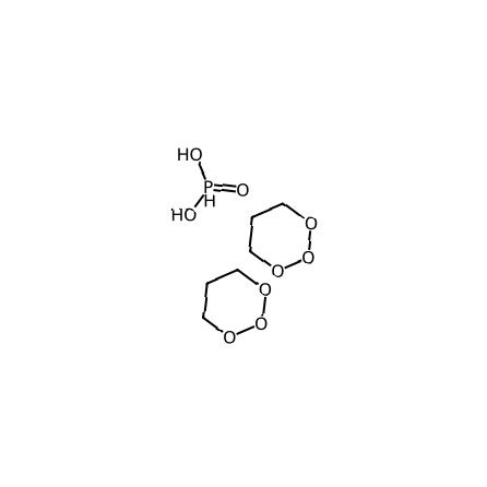 C1COOOC1.C1COOOC1.O=[PH](O)O